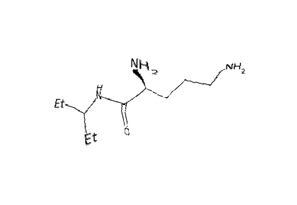 CCC(CC)NC(=O)[C@@H](N)CCCN